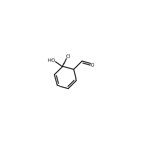 O=CC1C=CC=CC1(O)Cl